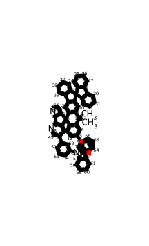 CC1(C)c2cc(-c3ccccc3)ccc2C2(c3cc4c(cc31)C1(c3ccccc3-c3ccccc31)c1ccccc1-4)c1cccnc1-c1ncc(-c3cccc(-n4c5ccccc5c5ccccc54)c3)cc12